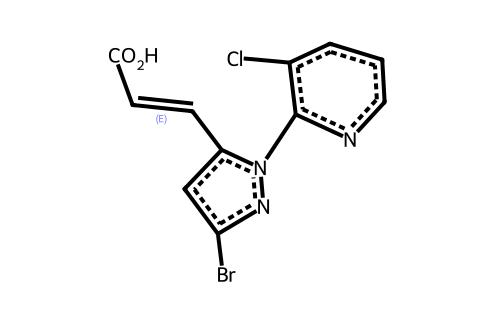 O=C(O)/C=C/c1cc(Br)nn1-c1ncccc1Cl